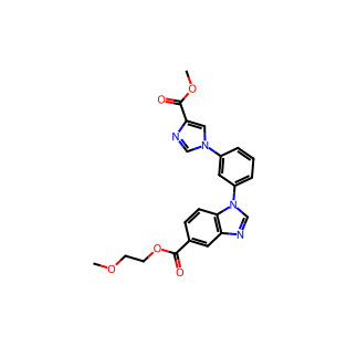 COCCOC(=O)c1ccc2c(c1)ncn2-c1cccc(-n2cnc(C(=O)OC)c2)c1